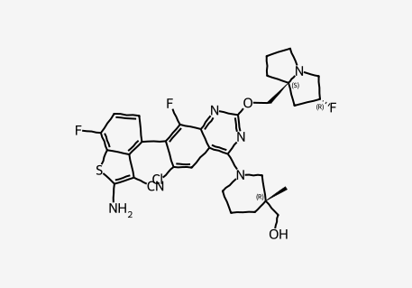 C[C@@]1(CO)CCCN(c2nc(OC[C@@]34CCCN3C[C@H](F)C4)nc3c(F)c(-c4ccc(F)c5sc(N)c(C#N)c45)c(Cl)cc23)C1